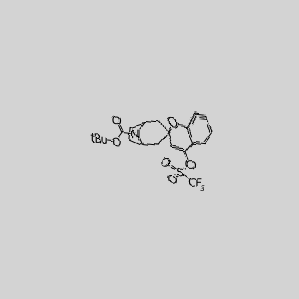 CC(C)(C)OC(=O)N1C2CCC1CC1(C=C(OS(=O)(=O)C(F)(F)F)c3ccccc3O1)C2